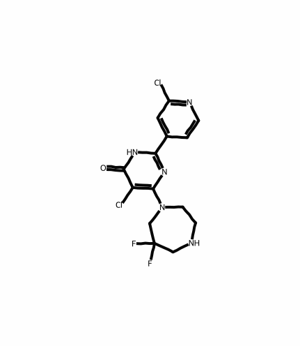 O=c1[nH]c(-c2ccnc(Cl)c2)nc(N2CCNCC(F)(F)C2)c1Cl